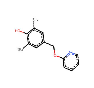 CC(C)(C)c1cc(COc2ccc[c]n2)cc(C(C)(C)C)c1O